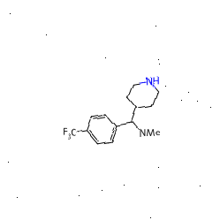 CNC(c1ccc(C(F)(F)F)cc1)C1CCNCC1